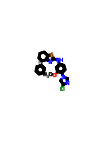 COc1cc(Nc2nc3c(s2)CCC[C@H]3c2ccccc2)ccc1N1C=NC(Cl)C1